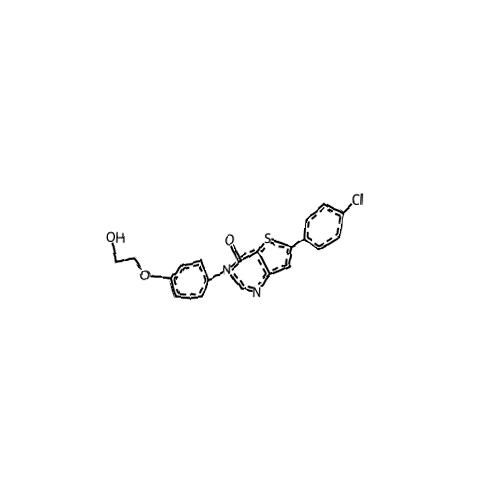 O=c1c2sc(-c3ccc(Cl)cc3)cc2ncn1-c1ccc(OCCO)cc1